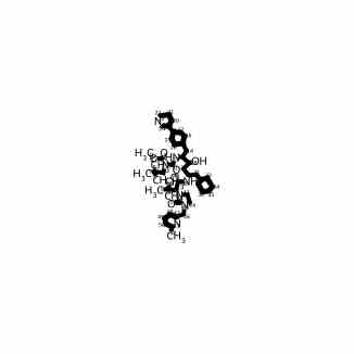 COC(=O)N(CC(C)(C)C)C(=O)NC(Cc1ccc(-c2cccnc2)cc1)C(O)CC(Cc1ccccc1)NC(=O)C(N1CCN(Cc2cccc(C)n2)C1=O)C(C)(C)C